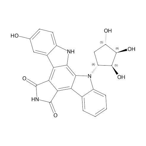 O=C1NC(=O)c2c1c1c3cc(O)ccc3[nH]c1c1c2c2ccccc2n1[C@@H]1C[C@H](O)[C@@H](O)[C@H]1O